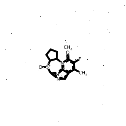 C.Cc1c(F)c(=O)n2c3nc(ncc13)[S+]([O-])C1CCCC12